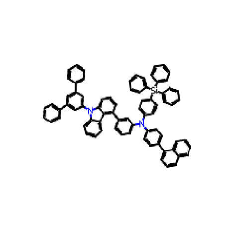 c1ccc(-c2cc(-c3ccccc3)cc(-n3c4ccccc4c4c(-c5cccc(N(c6ccc(-c7cccc8ccccc78)cc6)c6ccc([Si](c7ccccc7)(c7ccccc7)c7ccccc7)cc6)c5)cccc43)c2)cc1